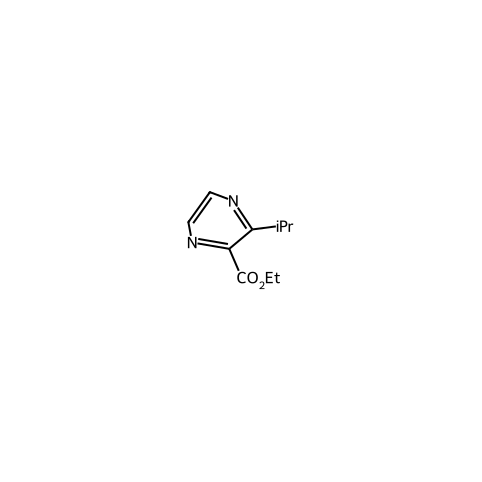 CCOC(=O)c1nccnc1C(C)C